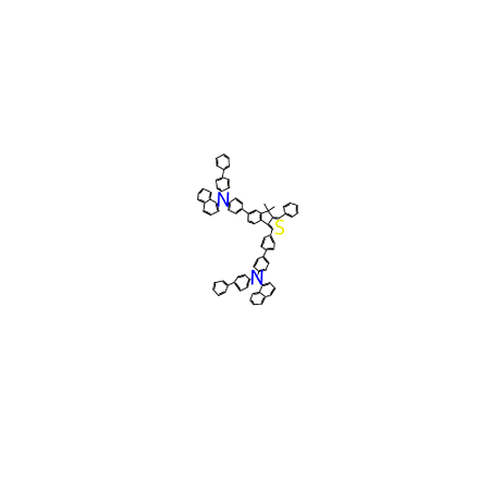 CC1(C)c2cc(-c3ccc(N(c4ccc(-c5ccccc5)cc4)c4cccc5ccccc45)cc3)ccc2-c2c(-c3ccc(-c4ccc(N(c5ccc(-c6ccccc6)cc5)c5cccc6ccccc56)cc4)cc3)sc(-c3ccccc3)c21